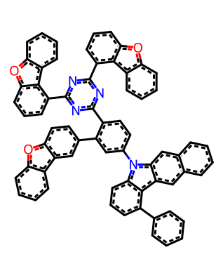 c1ccc(-c2cccc3c2c2cc4ccccc4cc2n3-c2ccc(-c3nc(-c4cccc5oc6ccccc6c45)nc(-c4cccc5oc6ccccc6c45)n3)c(-c3ccc4oc5ccccc5c4c3)c2)cc1